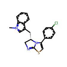 Cn1cc(C[C@H]2CN=C3SC=C(c4ccc(Cl)cc4)N32)c2ccccc21